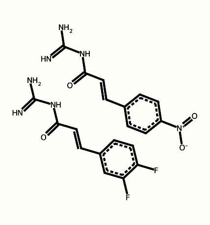 N=C(N)NC(=O)C=Cc1ccc(F)c(F)c1.N=C(N)NC(=O)C=Cc1ccc([N+](=O)[O-])cc1